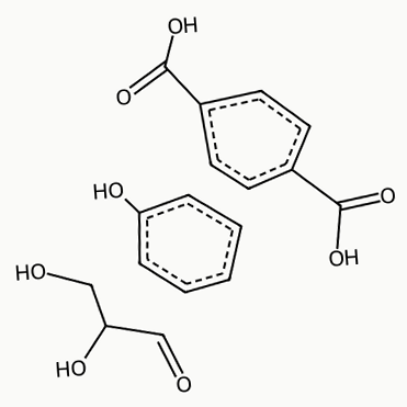 O=C(O)c1ccc(C(=O)O)cc1.O=CC(O)CO.Oc1ccccc1